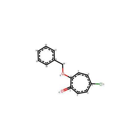 O=c1ccc(Cl)ccc1OCc1ccccc1